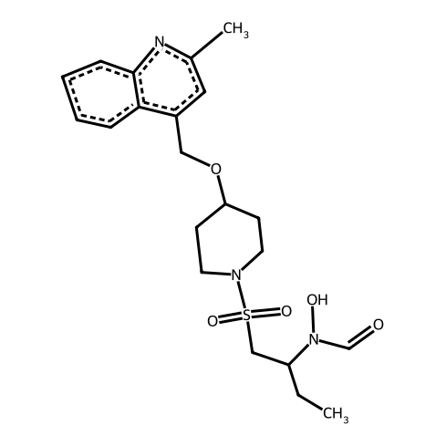 CCC(CS(=O)(=O)N1CCC(OCc2cc(C)nc3ccccc23)CC1)N(O)C=O